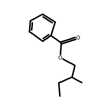 CCC(C)COC(=O)c1cc[c]cc1